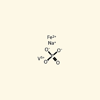 O=P([O-])([O-])[O-].[Fe+2].[Na+].[V+5]